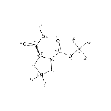 COC(=O)[C@@H]1C[Si](C)(C)CN1C(=O)OC(C)(C)C